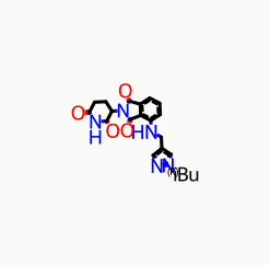 CC[C@@H](C)n1cc(CNc2cccc3c2C(=O)N(C2CCC(=O)NC2=O)C3=O)cn1